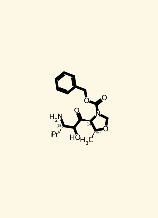 CC(C)[C@H](N)C(O)C(=O)[C@@H]1[C@@H](C)OCN1C(=O)OCc1ccccc1